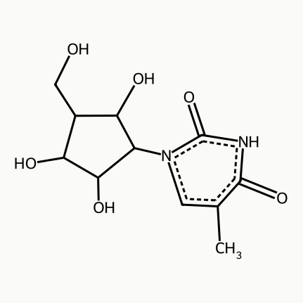 Cc1cn(C2C(O)C(O)C(CO)C2O)c(=O)[nH]c1=O